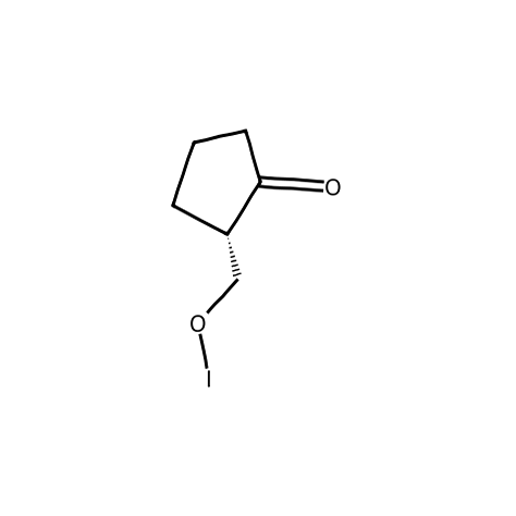 O=C1CCC[C@H]1COI